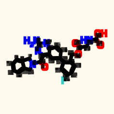 Nc1nc(C(=O)N2Cc3ccccc3C2)c2cc(-c3cc(F)ccc3COC(=O)CNC(=O)O)ccc2n1